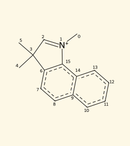 C[N+]1=CC(C)(C)c2ccc3ccccc3c21